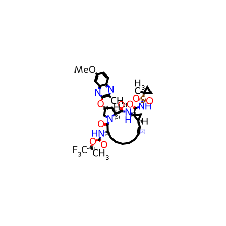 COc1ccc2nc(C)c(O[C@@H]3C[C@H]4C(=O)N[C@]5(C(=O)NS(=O)(=O)C6(C)CC6)C[C@H]5/C=C\CCCCC[C@H](NC(=O)O[C@H](C)C(F)(F)F)C(=O)N4C3)nc2c1